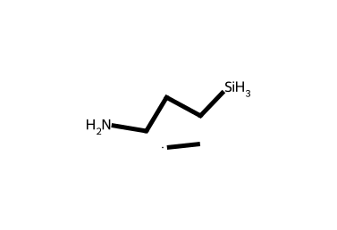 NCCC[SiH3].[CH2]C